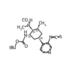 C[C@H]1C[C@@H](c2ccncc2N=C=S)C[C@H](NC(=O)OC(C)(C)C)[C@H]1N(C)C(=O)O